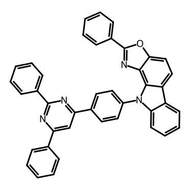 c1ccc(-c2cc(-c3ccc(-n4c5ccccc5c5ccc6oc(-c7ccccc7)nc6c54)cc3)nc(-c3ccccc3)n2)cc1